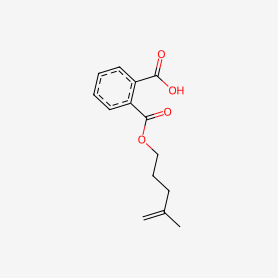 C=C(C)CCCOC(=O)c1ccccc1C(=O)O